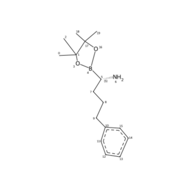 CC1(C)OB([C@H](N)CCCc2ccccc2)OC1(C)C